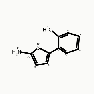 Cc1ccccc1-c1ccc(N)s1